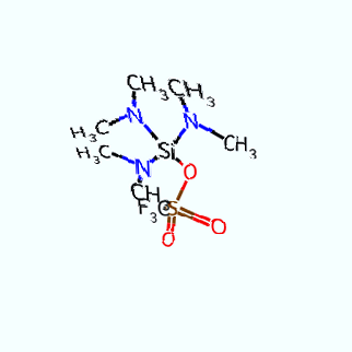 CN(C)[Si](OS(=O)(=O)C(F)(F)F)(N(C)C)N(C)C